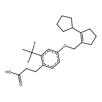 CC(F)(F)c1cc(OCC2=C(C3CCCC3)CCC2)ccc1CCC(=O)O